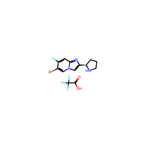 Fc1cc2nc([C@H]3CCCN3)cn2cc1Br.O=C(O)C(F)(F)F